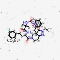 CCOC(=O)c1ccc(F)cc1CCC(NC(=O)C(C)(C)NC(=O)OC(C)(C)C)C(=O)N1CCC2=NN(CC(F)(F)F)C(=O)C2(Cc2ccccn2)C1